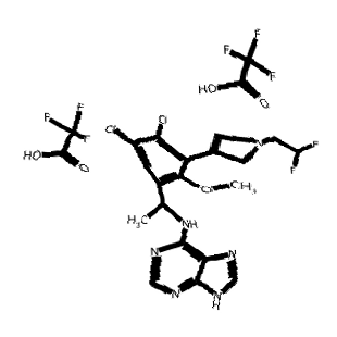 COc1c(C(C)Nc2ncnc3[nH]cnc23)cc(Cl)c(Cl)c1C1CN(CC(F)F)C1.O=C(O)C(F)(F)F.O=C(O)C(F)(F)F